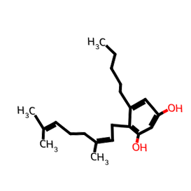 CCCCCc1cc(O)cc(O)c1CC=C(C)CCC=C(C)C